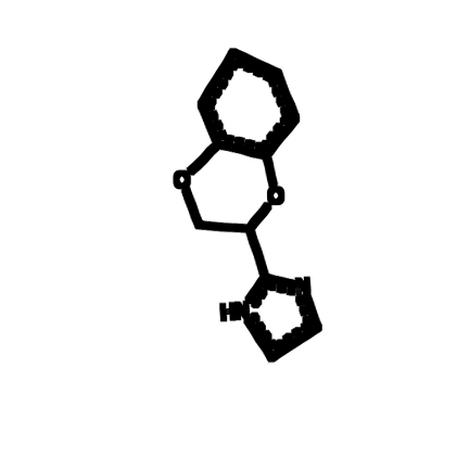 c1ccc2c(c1)OCC(c1ncc[nH]1)O2